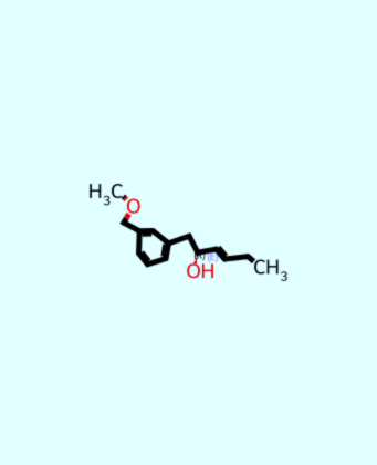 CC/C=C/[C@H](O)Cc1cccc(COC)c1